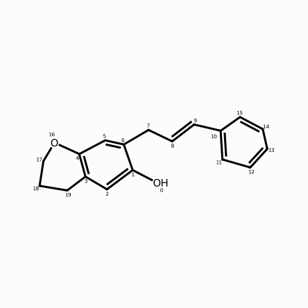 Oc1cc2c(cc1CC=Cc1ccccc1)OCCC2